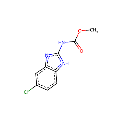 COC(=O)Nc1nc2cc(Cl)ccc2[nH]1